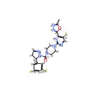 Cc1nnc(-c2nc(N3CCN(C(=O)N4N=CCC4c4cc(F)cc(F)c4)CC3)ncc2F)o1